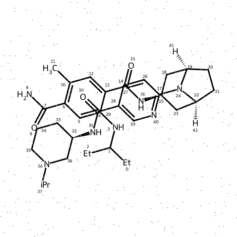 CCC(CC)Nc1cc(C(N)=O)c(C)cc1C(=O)N[C@H]1C[C@H]2CC[C@@H](C1)N2c1ccc(C(=O)N[C@@H]2CCCN(C(C)C)C2)cn1